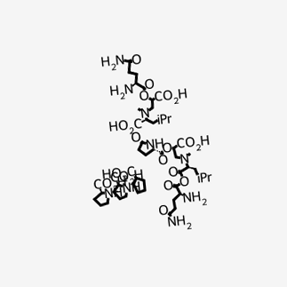 CC(C)C[C@@H](C(=O)O)N(C)CC(OC(=O)[C@@H](N)CCC(N)=O)C(=O)O.CC(C)C[C@@H](C(=O)OC(=O)[C@@H](N)CCC(N)=O)N(C)CC(OC(=O)[C@@H]1CCC(=O)N1)C(=O)O.O=C(O)C1CCCC1.O=C(O)[C@@H]1CCCN1.O=C(O)[C@@H]1CCCN1